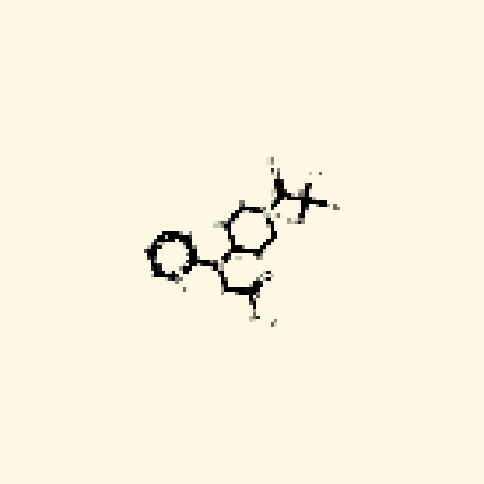 NC(=O)CN(c1ccccn1)C1CCN(C(=O)C(F)(F)F)CC1